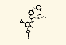 CC(=O)Nc1cc(Oc2ccc3nc(Nc4cc(C5CC5)cn(C5CC(C#N)C5)c4=O)n(C)c3c2)ccn1